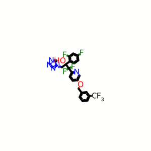 OC(Cn1cnnn1)(c1ccc(F)cc1F)C(F)(F)c1ccc(OCc2cccc(C(F)(F)F)c2)cn1